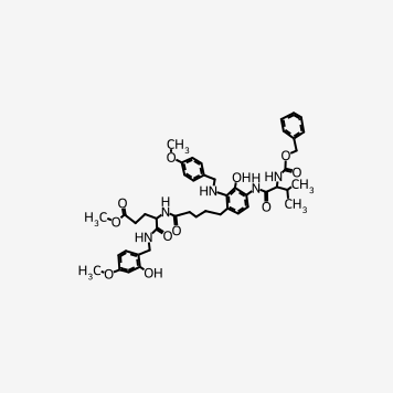 COC(=O)CCC(NC(=O)CCCCc1ccc(NC(=O)C(NC(=O)OCc2ccccc2)C(C)C)c(O)c1NCc1ccc(OC)cc1)C(=O)NCc1ccc(OC)cc1O